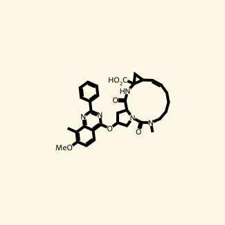 COc1ccc2c(OC3CC4C(=O)NC5(C(=O)O)CC5C=CCCCCN(C)C(=O)N4C3)nc(-c3ccccc3)nc2c1C